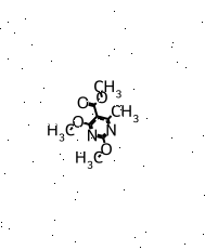 COC(=O)c1c(C)nc(OC)nc1OC